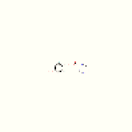 CCCOc1cc(F)c(COC(=O)N2CCNCC2C)c(F)c1